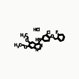 CCOc1cc2ncnc(Nc3ccc(OCc4ccccc4F)c(Cl)c3)c2cc1OCC.Cl